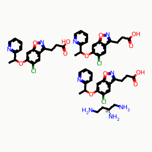 CC(Oc1cc2onc(CCC(=O)O)c2cc1Cl)c1ccccn1.CC(Oc1cc2onc(CCC(=O)O)c2cc1Cl)c1ccccn1.CC(Oc1cc2onc(CCC(=O)O)c2cc1Cl)c1ccccn1.NCC[C@@H](N)CN